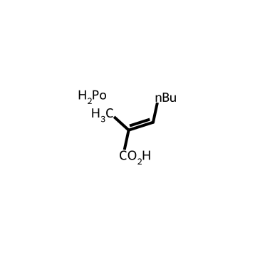 CCCCC=C(C)C(=O)O.[PoH2]